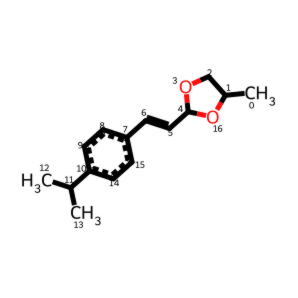 CC1COC(C=Cc2ccc(C(C)C)cc2)O1